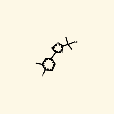 Cc1cc(-c2coc(C(C)(C)O)n2)ccc1F